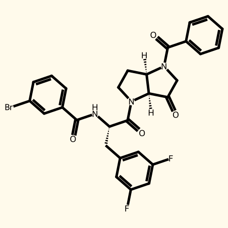 O=C(N[C@@H](Cc1cc(F)cc(F)c1)C(=O)N1CC[C@@H]2[C@H]1C(=O)CN2C(=O)c1ccccc1)c1cccc(Br)c1